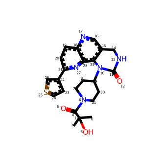 CC(C)(O)C(=O)N1CCC(N2C(=O)NCc3cnc4ccc(-c5ccsc5)nc4c32)CC1